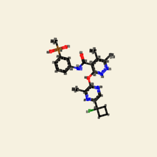 Cc1nc(C2(F)CCC2)cnc1Oc1nnc(C(F)(F)F)c(C)c1C(=O)Nc1cccc(S(C)(=O)=O)c1